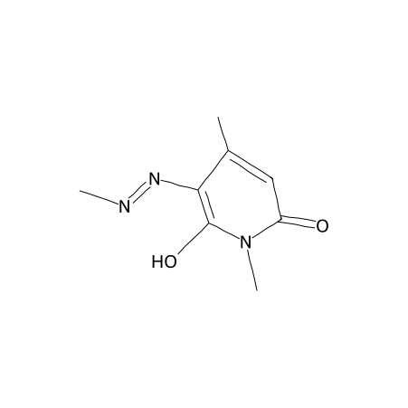 CN=Nc1c(C)cc(=O)n(C)c1O